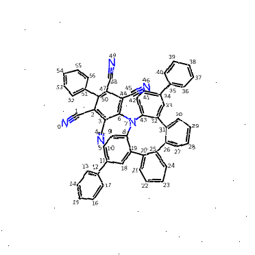 N#Cc1c(C#N)c(-n2c3ccc(-c4ccccc4)cc3c3ccccc3c3ccccc3c3cc(-c4ccccc4)ccc32)c(C#N)c(C#N)c1-c1ccccc1